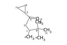 CC(CC(=O)C1CC1)C(C)(C)C